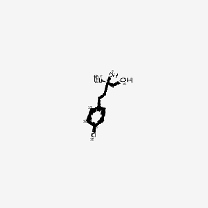 CC(C)(C)[C@](O)(CO)CCc1ccc(Cl)cc1